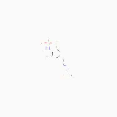 CC(C)(C)[S+]([O-])N=CCc1cc(F)c(NS(C)(=O)=O)c(F)c1